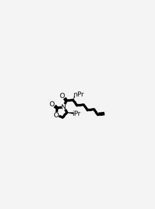 C=CCCCC[C@@H](CCC)C(=O)N1C(=O)OC[C@@H]1C(C)C